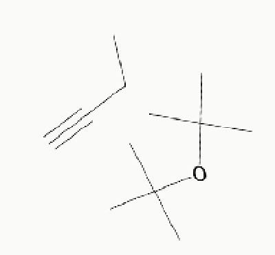 C#CCC.CC(C)(C)OC(C)(C)C